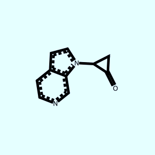 O=C1CC1n1ccc2ccncc21